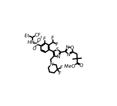 CCC(NS(=O)(=O)c1ccc(-c2sc(-c3noc(CC(C)(C)C(=O)OC)n3)nc2CN2CCCC(F)(F)C2)c(C(F)F)c1F)C(F)(F)F